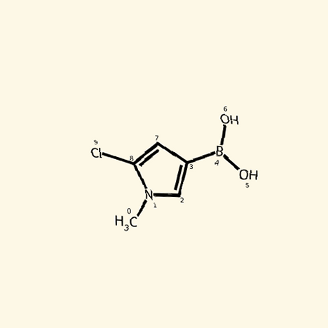 Cn1cc(B(O)O)cc1Cl